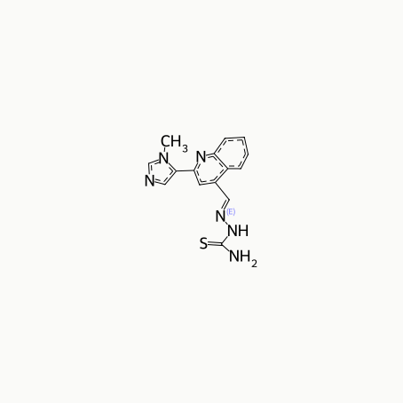 Cn1cncc1-c1cc(/C=N/NC(N)=S)c2ccccc2n1